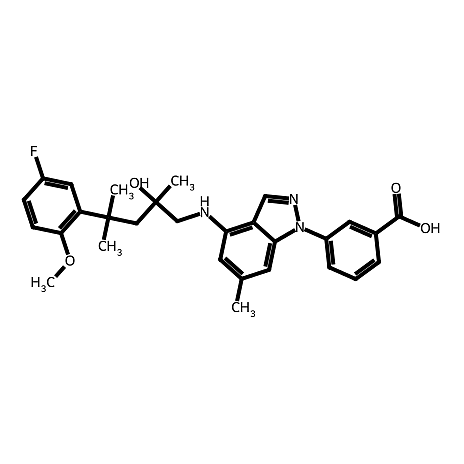 COc1ccc(F)cc1C(C)(C)CC(C)(O)CNc1cc(C)cc2c1cnn2-c1cccc(C(=O)O)c1